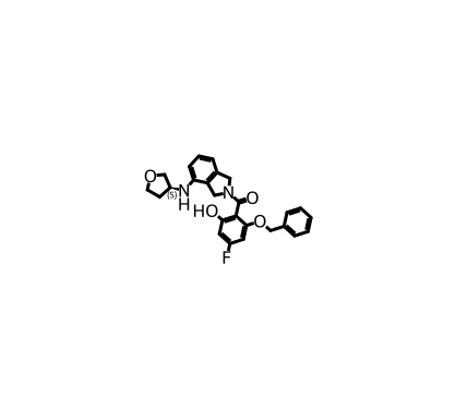 O=C(c1c(O)cc(F)cc1OCc1ccccc1)N1Cc2cccc(N[C@H]3CCOC3)c2C1